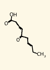 CCC=CCC(=O)C=CCC(=O)O